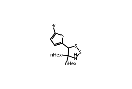 CCCCCCC1(CCCCCC)NSSC1c1ccc(Br)s1